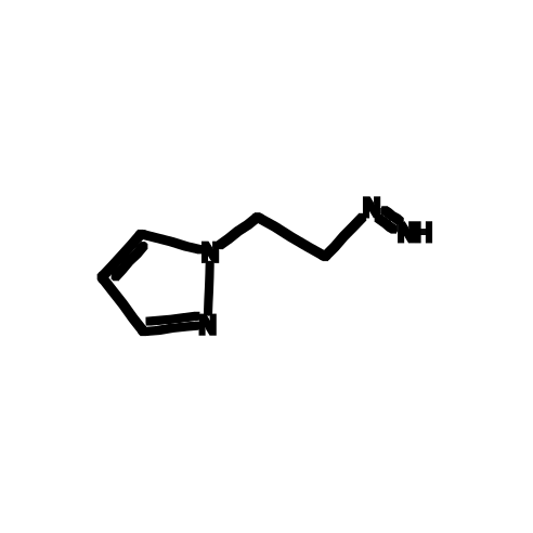 N=NCCn1cccn1